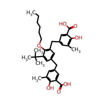 CCCCCCOc1c(Cc2cc(C)c(O)c(C(=O)O)c2)cc(Cc2cc(C)c(O)c(C(=O)O)c2)cc1C(C)(C)C